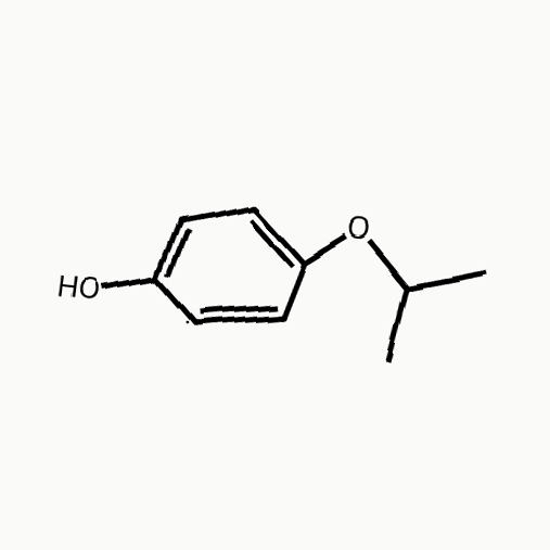 CC(C)Oc1c[c]c(O)cc1